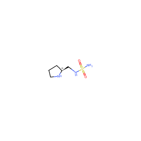 NS(=O)(=O)NC[C@@H]1C[CH]CN1